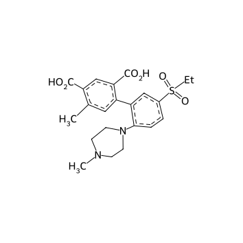 CCS(=O)(=O)c1ccc(N2CCN(C)CC2)c(-c2cc(C)c(C(=O)O)cc2C(=O)O)c1